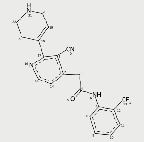 N#Cc1c(CC(=O)Nc2ccccc2C(F)(F)F)ccnc1C1=CCNCC1